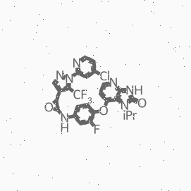 CC(C)n1c(=O)[nH]c2nccc(Oc3ccc(NC4OC4c4cnn(-c5cc(Cl)ccn5)c4C(F)(F)F)cc3F)c21